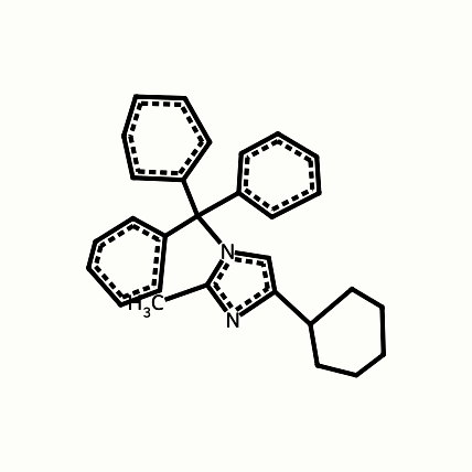 Cc1nc(C2CCCCC2)cn1C(c1ccccc1)(c1ccccc1)c1ccccc1